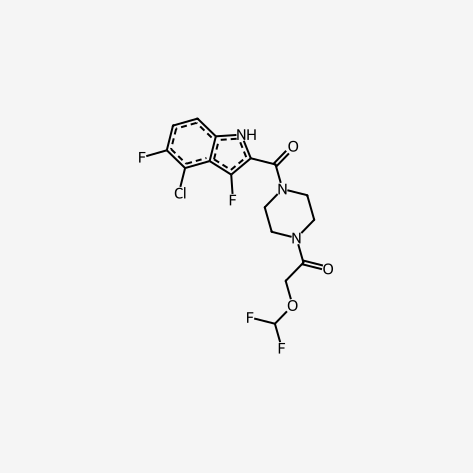 O=C(COC(F)F)N1CCN(C(=O)c2[nH]c3ccc(F)c(Cl)c3c2F)CC1